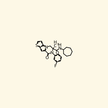 CC1(C(=O)NC2CCCCCC2)Cn2c(cc3sccc32)C(=O)N1c1cccc(F)c1